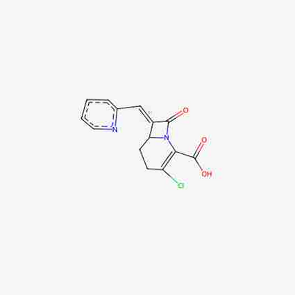 O=C(O)C1=C(Cl)CCC2/C(=C\c3ccccn3)C(=O)N12